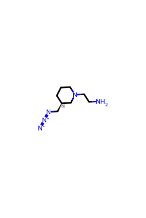 [N-]=[N+]=NC[C@H]1CCCN(CCN)C1